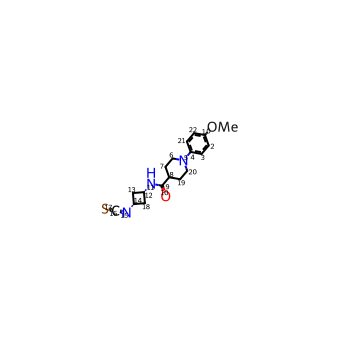 COc1ccc(N2CCC(C(=O)N[C@H]3C[C@@H](N=C=S)C3)CC2)cc1